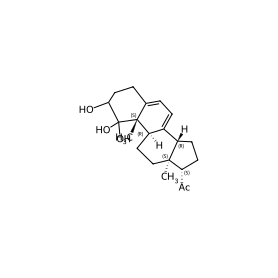 CC(=O)[C@H]1CC[C@H]2C3=CC=C4CCC(O)C(O)(O)[C@@]4(C)[C@@H]3CC[C@]12C